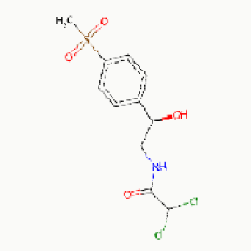 CS(=O)(=O)c1ccc([C@@H](O)CNC(=O)C(Cl)Cl)cc1